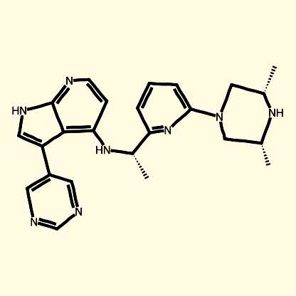 C[C@@H]1CN(c2cccc([C@H](C)Nc3ccnc4[nH]cc(-c5cncnc5)c34)n2)C[C@H](C)N1